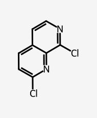 Clc1ccc2ccnc(Cl)c2n1